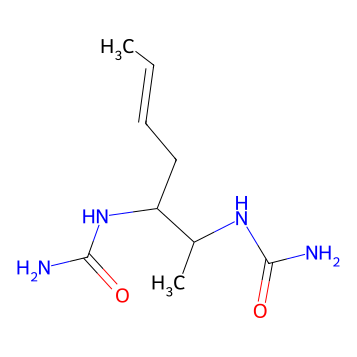 CC=CCC(NC(N)=O)C(C)NC(N)=O